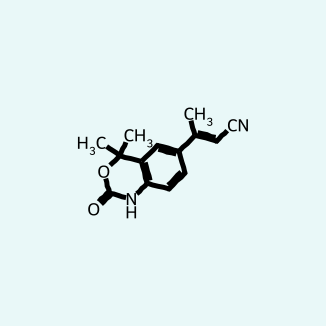 C/C(=C\C#N)c1ccc2c(c1)C(C)(C)OC(=O)N2